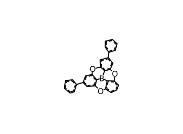 c1ccc(-c2cc3c4c(c2)Oc2cc(-c5ccccc5)cc5c2B4c2c(cccc2O5)O3)cc1